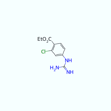 CCOC(=O)c1ccc(NC(=N)N)cc1Cl